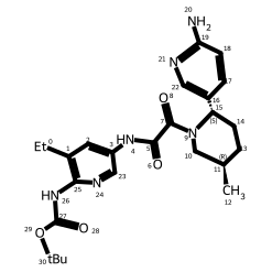 CCc1cc(NC(=O)C(=O)N2C[C@H](C)CC[C@H]2c2ccc(N)nc2)cnc1NC(=O)OC(C)(C)C